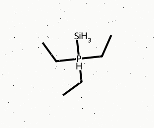 CC[PH]([SiH3])(CC)CC